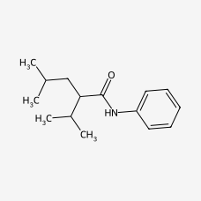 CC(C)CC(C(=O)Nc1ccccc1)C(C)C